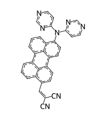 N#CC(C#N)=Cc1ccc2c3ccc(N(c4ccncn4)c4ccncn4)c4cccc(c5cccc1c52)c43